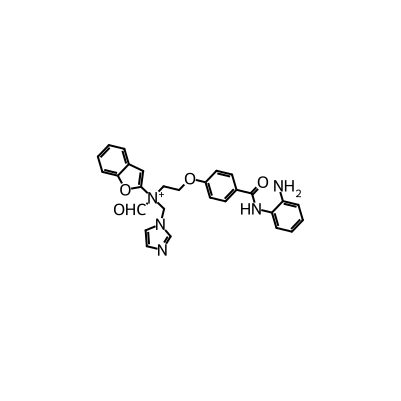 Nc1ccccc1NC(=O)c1ccc(OCC[N+](C=O)(Cn2ccnc2)c2cc3ccccc3o2)cc1